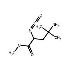 COC(=O)C(CC(C)(C)N)N=C=O